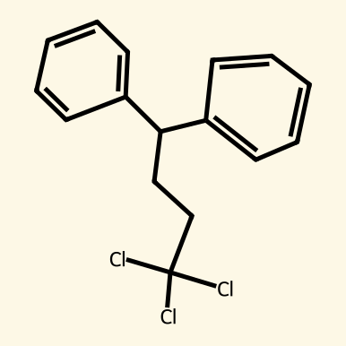 ClC(Cl)(Cl)CCC(c1ccccc1)c1ccccc1